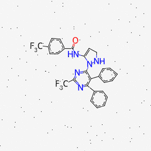 O=C(NC1=CCNN1c1nc(C(F)(F)F)nc(-c2ccccc2)c1-c1ccccc1)c1ccc(C(F)(F)F)cc1